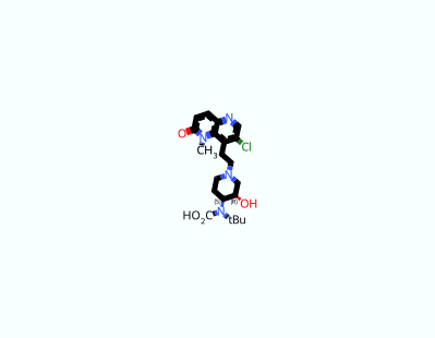 Cn1c(=O)ccc2ncc(Cl)c(CCN3CC[C@H](N(C(=O)O)C(C)(C)C)[C@H](O)C3)c21